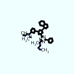 C=N/C(=C\C=C/C)c1cccc(-c2cc(-c3nc(/C(C)=C/C=C\C)nc(-c4ccccc4)n3)cc(-c3cccc4ccccc34)c2)c1